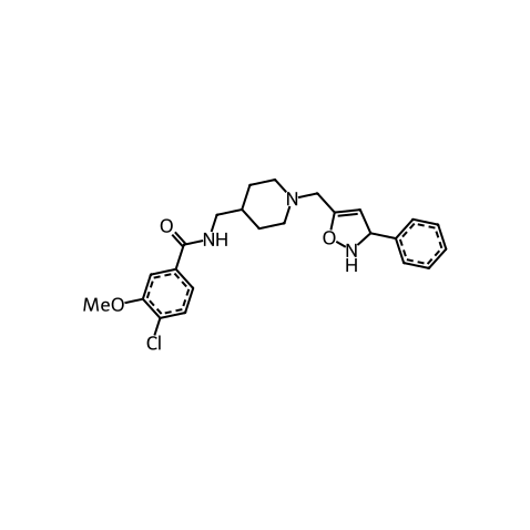 COc1cc(C(=O)NCC2CCN(CC3=CC(c4ccccc4)NO3)CC2)ccc1Cl